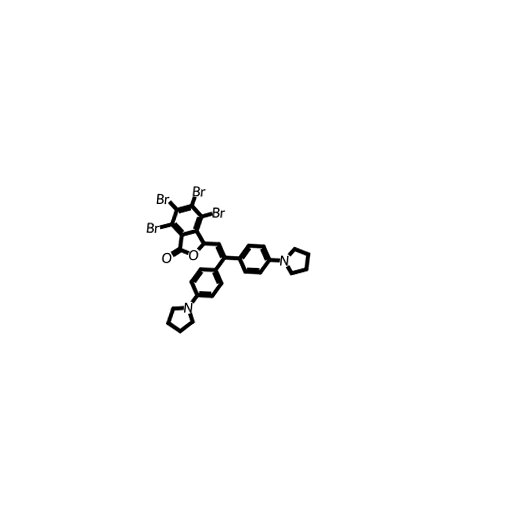 O=C1OC(C=C(c2ccc(N3CCCC3)cc2)c2ccc(N3CCCC3)cc2)c2c(Br)c(Br)c(Br)c(Br)c21